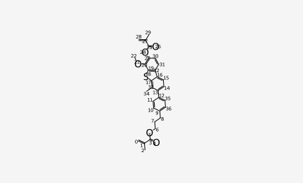 C=C(C)C(=O)OCCCc1ccc(-c2ccc3c(sc4c(OC)c(OC(=O)C(=C)C)ccc43)c2C)cc1